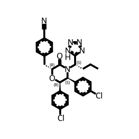 CCC[C@@H](c1nnn[nH]1)N1C(=O)[C@@H](Cc2ccc(C#N)cc2)O[C@H](c2ccc(Cl)cc2)[C@@H]1c1ccc(Cl)cc1